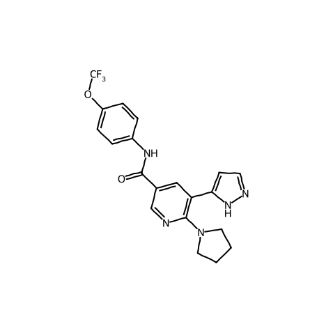 O=C(Nc1ccc(OC(F)(F)F)cc1)c1cnc(N2CCCC2)c(-c2ccn[nH]2)c1